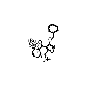 CN(C)[C@@H]1c2onc(OCc3ccccc3)c2C(=O)[C@@]2(O[Si](C)(C)C(C)(C)C)C(=O)C=CC[C@@]12C